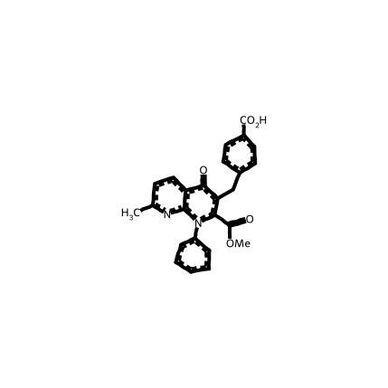 COC(=O)c1c(Cc2ccc(C(=O)O)cc2)c(=O)c2ccc(C)nc2n1-c1ccccc1